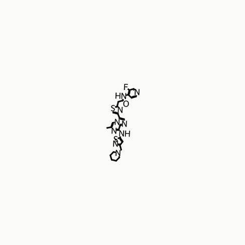 Cc1cn2c(-c3csc(CC(=O)Nc4ccncc4F)n3)cnc2c(Nc2cc(CN3CCCCC3)ns2)n1